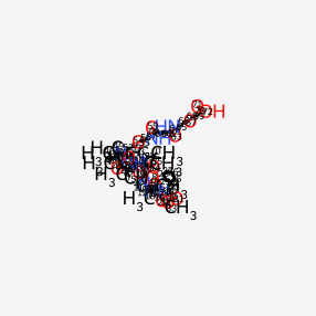 CC[C@H](C)[C@@H]([C@@H](CC(=O)N1CCC[C@H]1[C@H](OC)[C@@H](C)C(=O)N[C@@H](Cc1ccccc1)C(=O)OC)OC)N(C)C(=O)[C@@H](NC(=O)[C@H](C(C)C)N(C)C(=O)CCOCCNC(=O)C#CC(=O)NCCOCCC(=O)O)C(C)C